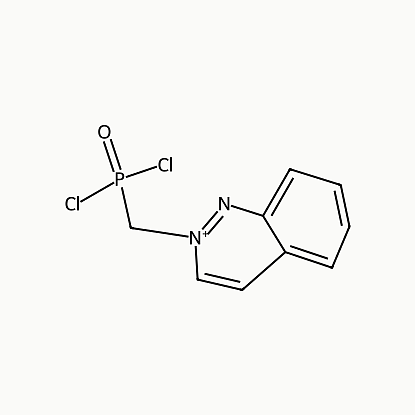 O=P(Cl)(Cl)C[n+]1ccc2ccccc2n1